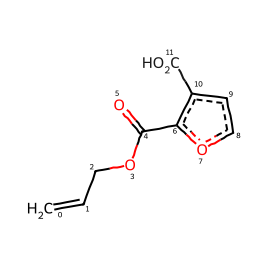 C=CCOC(=O)c1occc1C(=O)O